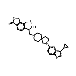 Cc1c([C@@H](O)CN2CCC3(CC2)CCN(c2ccc4nnc(C5CC5)n4n2)C3)ccc2c1COC2=O